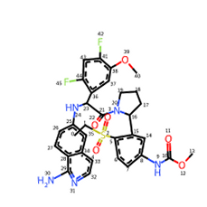 CCS(=O)(=O)c1ccc(NC(=O)OC)cc1C1CCCN1C(=O)C(Nc1ccc2c(N)nccc2c1)c1cc(OC)c(F)cc1F